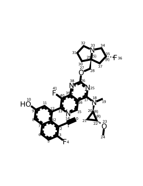 C#Cc1c(F)ccc2cc(O)cc(-c3ncc4c(N(C)[C@@H]5C[C@H]5OC)nc(OC[C@@]56CCCN5C[C@H](F)C6)nc4c3F)c12